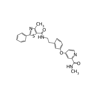 CNC(=O)c1cc(Oc2cccc(CCNC(=O)c3sc(-c4ccccc4)nc3C)c2)ccn1